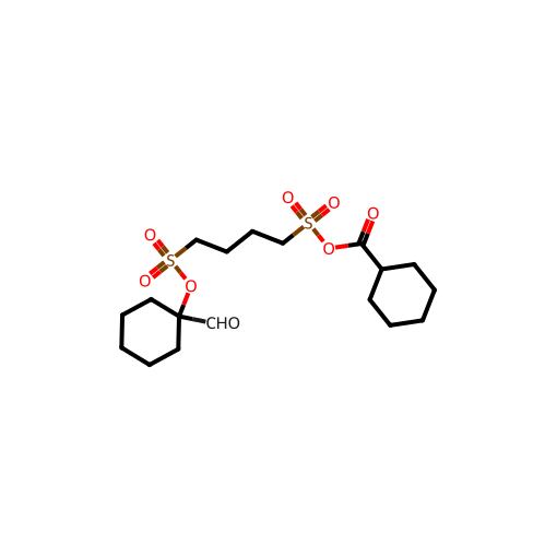 O=CC1(OS(=O)(=O)CCCCS(=O)(=O)OC(=O)C2CCCCC2)CCCCC1